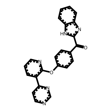 O=C(c1ccc(Oc2ncccc2-c2ccncn2)cc1)c1nc2ccccc2[nH]1